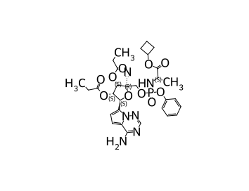 CCC(=O)O[C@H]1[C@H](c2ccc3c(N)ncnn23)O[C@](C#N)(COP(=O)(N[C@@H](C)C(=O)OC2CCC2)Oc2ccccc2)[C@H]1OC(=O)CC